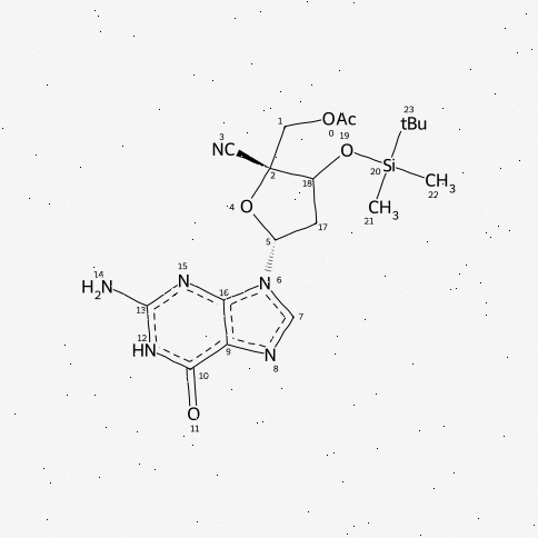 CC(=O)OC[C@@]1(C#N)O[C@@H](n2cnc3c(=O)[nH]c(N)nc32)CC1O[Si](C)(C)C(C)(C)C